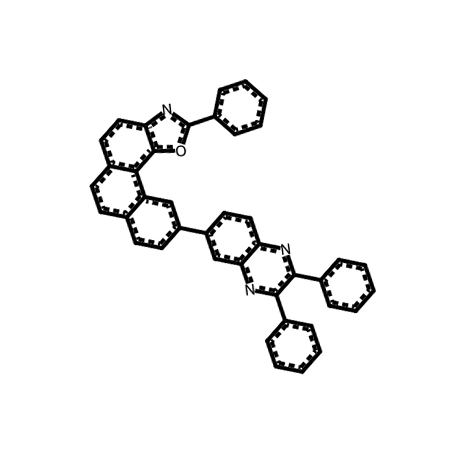 c1ccc(-c2nc3ccc4ccc5ccc(-c6ccc7nc(-c8ccccc8)c(-c8ccccc8)nc7c6)cc5c4c3o2)cc1